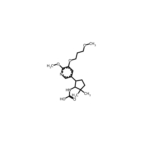 COCCCOc1cc(C2CCC(C)(C)C2NC(=O)O)cnc1OC